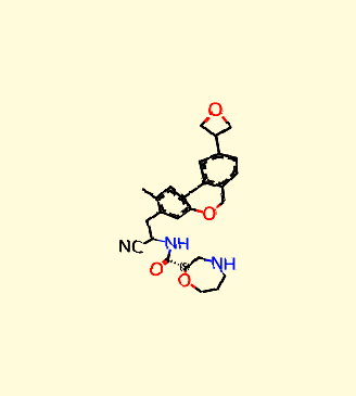 Cc1cc2c(cc1CC(C#N)NC(=O)[C@@H]1CNCCCO1)OCc1ccc(C3COC3)cc1-2